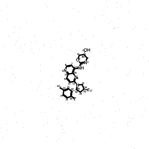 O[C@@H]1CN=C(Nc2ccnc3ccc(N4C[C@@H](F)C[C@@H]4c4cc(I)ccc4F)nc23)OC1